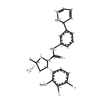 COc1c([C@@H]2C[C@](C)(C(F)(F)F)S[C@H]2C(=O)Nc2cccc(C3C=CC=NN3)c2)ccc(F)c1F